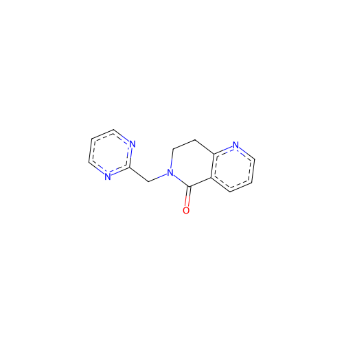 O=C1c2cccnc2CCN1Cc1ncccn1